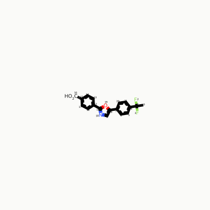 CC(F)(F)c1ccc(-c2cnc(-c3ccc(C(=O)O)cc3)o2)cc1